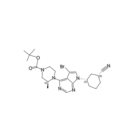 C[C@H]1CN(C(=O)OC(C)(C)C)CCN1c1ncnc2c1c(Br)cn2[C@H]1CCC[C@@H](C#N)C1